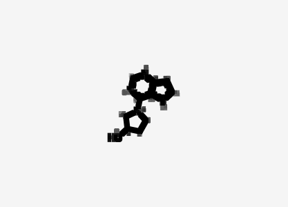 OC1CCN(c2ncnc3ccsc23)C1